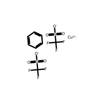 O=S(=O)([O-])C(F)(F)F.O=S(=O)([O-])C(F)(F)F.[Cu+2].c1ccccc1